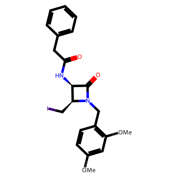 COc1ccc(CN2C(=O)[C@H](NC(=O)Cc3ccccc3)[C@@H]2CI)c(OC)c1